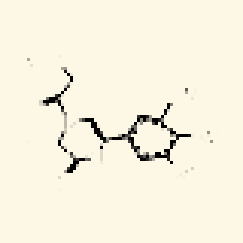 COCC(=O)N1C=C(c2cc(OC)c(OC)c(OC)c2)NC(=O)[C@@H]1C(C)C